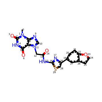 Cn1c(=O)[nH]c(=O)c2c1ncn2CC(=O)Nc1nc(-c2ccc3occc3c2)cs1